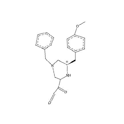 COc1ccc(C[C@@H]2CN(Cc3ccccc3)CC(C(=O)C=O)N2)cc1